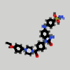 CCOc1ccc(N2CCN(C(=O)c3ccc(-n4c(=O)[nH]c5cc(Nc6ccc(S(N)(=O)=O)cc6)ccc54)cc3)CC2)cc1